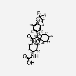 O=C(O)NC1CCN(C(=O)C(c2ccc(OC(F)(F)F)cc2)C2(O)CCCCC2)CC1